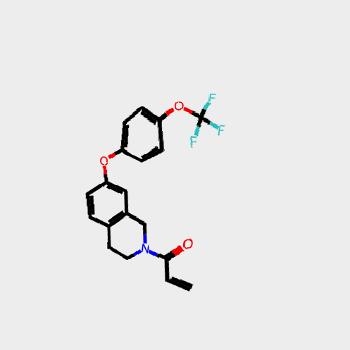 C=CC(=O)N1CCc2ccc(Oc3ccc(OC(F)(F)F)cc3)cc2C1